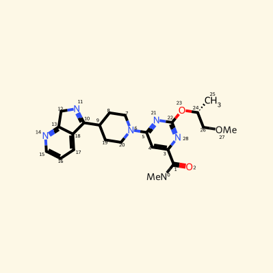 CNC(=O)c1cc(N2CCC(C3=NCc4ncccc43)CC2)nc(O[C@H](C)COC)n1